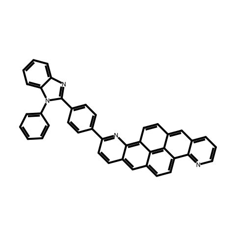 c1ccc(-n2c(-c3ccc(-c4ccc5cc6ccc7c8ncccc8cc8ccc(c5n4)c6c87)cc3)nc3ccccc32)cc1